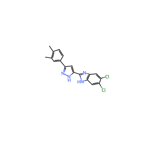 Cc1ccc(-c2cc(-c3nc4cc(Cl)c(Cl)cc4[nH]3)[nH]n2)cc1C